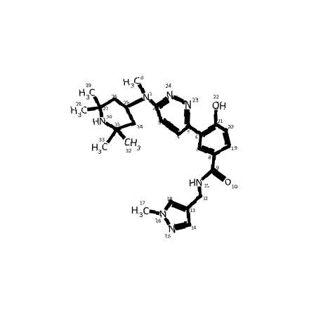 CN(c1ccc(-c2cc(C(=O)NCc3cnn(C)c3)ccc2O)nn1)C1CC(C)(C)NC(C)(C)C1